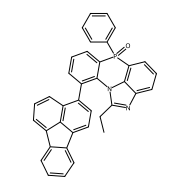 CCc1nc2cccc3c2n1-c1c(-c2ccc4c5c(cccc25)-c2ccccc2-4)cccc1P3(=O)c1ccccc1